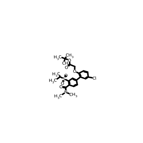 CC(C)S(=O)(=O)c1cc(-c2cc(Cl)ccc2OCC(=O)OC(C)(C)C)ccc1C(=O)N(C)C